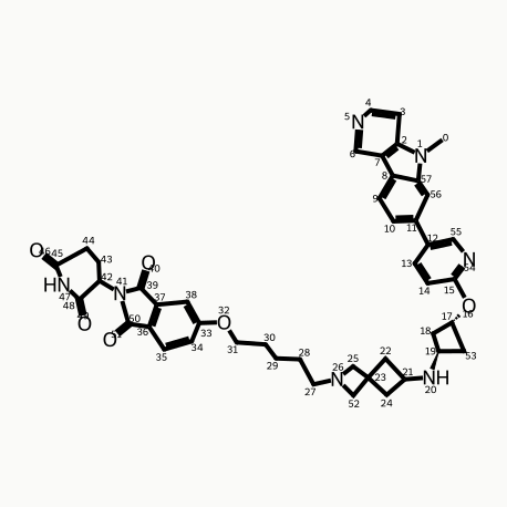 Cn1c2ccncc2c2ccc(-c3ccc(O[C@H]4C[C@H](NC5CC6(C5)CN(CCCCCOc5ccc7c(c5)C(=O)N(C5CCC(=O)NC5=O)C7=O)C6)C4)nc3)cc21